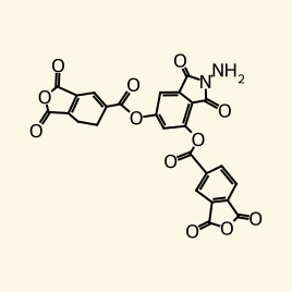 NN1C(=O)c2cc(OC(=O)C3=CC4=C(CC3)C(=O)OC4=O)cc(OC(=O)c3ccc4c(c3)C(=O)OC4=O)c2C1=O